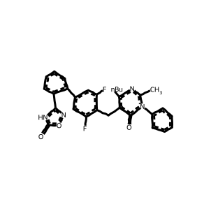 CCCCc1nc(C)n(-c2ccccc2)c(=O)c1Cc1c(F)cc(-c2ccccc2-c2noc(=O)[nH]2)cc1F